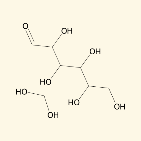 O=CC(O)C(O)C(O)C(O)CO.OCO